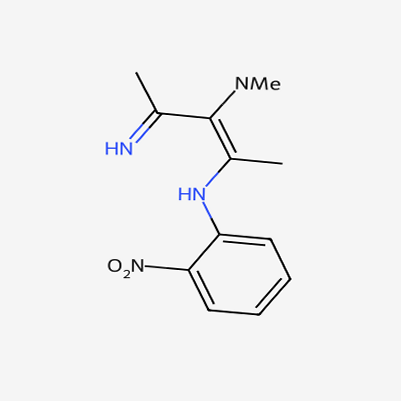 CN/C(C(C)=N)=C(\C)Nc1ccccc1[N+](=O)[O-]